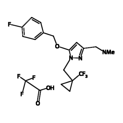 CNCc1cc(OCc2ccc(F)cc2)n(CC2(C(F)(F)F)CC2)n1.O=C(O)C(F)(F)F